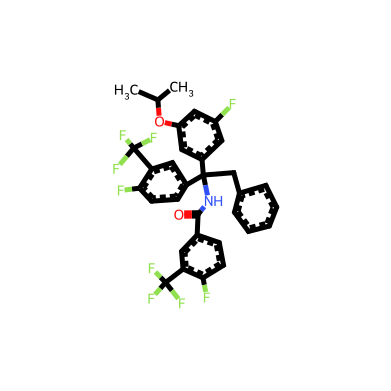 CC(C)Oc1cc(F)cc(C(Cc2ccccc2)(NC(=O)c2ccc(F)c(C(F)(F)F)c2)c2ccc(F)c(C(F)(F)F)c2)c1